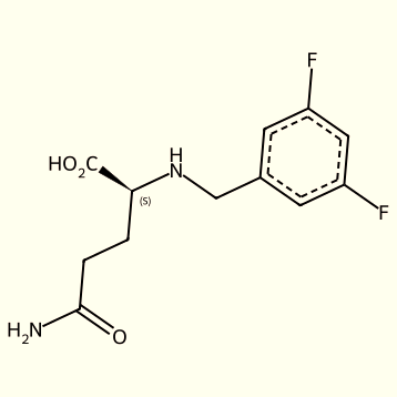 NC(=O)CC[C@H](NCc1cc(F)cc(F)c1)C(=O)O